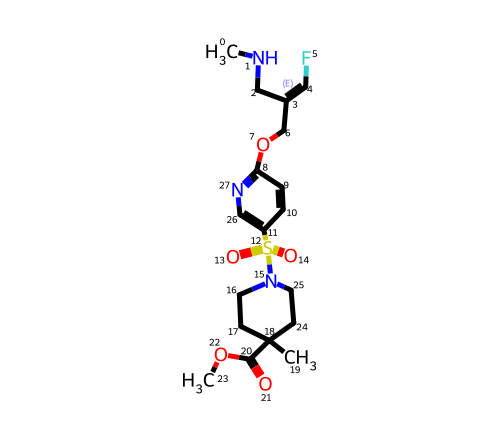 CNC/C(=C\F)COc1ccc(S(=O)(=O)N2CCC(C)(C(=O)OC)CC2)cn1